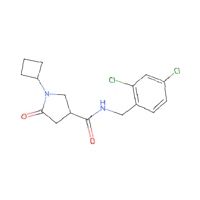 O=C(NCc1ccc(Cl)cc1Cl)C1CC(=O)N(C2CCC2)C1